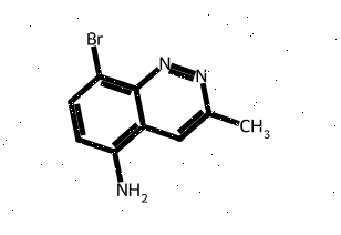 Cc1cc2c(N)ccc(Br)c2nn1